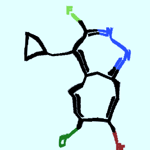 Fc1nnc2cc(Br)c(Cl)cc2c1C1CC1